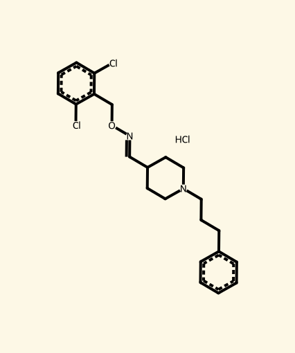 Cl.Clc1cccc(Cl)c1CO/N=C/C1CCN(CCCc2ccccc2)CC1